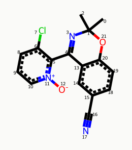 CC1(C)N=C(c2c(Cl)ccc[n+]2[O-])c2cc(C#N)ccc2O1